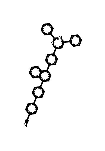 N#Cc1ccc(-c2ccc(-c3ccc(-c4ccc(-c5cc(-c6ccccc6)nc(-c6ccccc6)n5)cc4)c4ccccc34)cc2)cc1